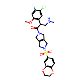 CNCC(C(=O)N1CC2=C(C1)CN(S(=O)(=O)c1ccc3c(c1)OCCO3)C2)c1cc(Cl)c(F)cc1OC